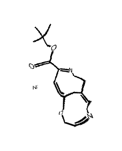 CC(C)(C)OC(=O)C1=NCC2=CN=CCOC2=C1.[N]